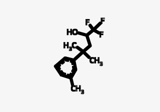 Cc1cccc(C(C)(C)CC(O)C(F)(F)F)c1